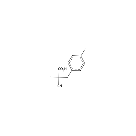 Cc1ccc(CC(C)(C#N)C(=O)O)cc1